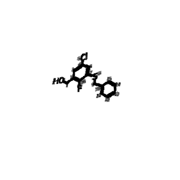 OCc1cc(Cl)cc(SCc2ccccc2)c1F